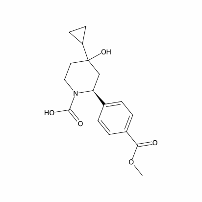 COC(=O)c1ccc([C@@H]2CC(O)(C3CC3)CCN2C(=O)O)cc1